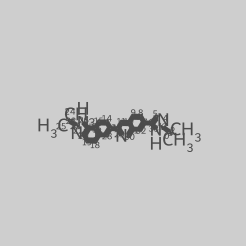 CC(C)c1ncc(-c2ccc3cc(-c4ccc5c(ccc6nc(C(C)C)[nH]c65)c4)ncc3c2)[nH]1